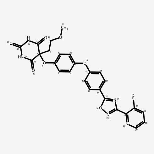 COCCC1(Oc2ccc(Oc3ccc(-c4nc(-c5ncccc5F)no4)cc3)cc2)C(=O)NC(=O)NC1=O